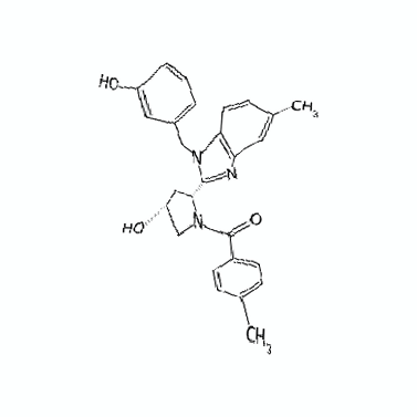 Cc1ccc(C(=O)N2C[C@H](O)C[C@@H]2c2nc3cc(C)ccc3n2Cc2cccc(O)c2)cc1